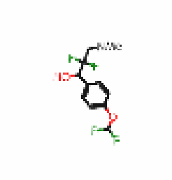 CNCC(F)(F)C(O)c1ccc(OC(F)F)cc1